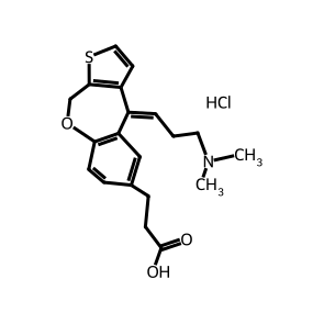 CN(C)CC/C=C1\c2cc(CCC(=O)O)ccc2OCc2sccc21.Cl